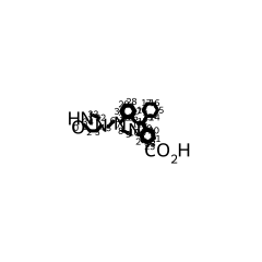 O=C1CCN(CCN2CCn3c(c(C4CCCCC4)c4ccc(C(=O)O)cc43)-c3ccccc32)CCN1